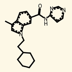 Cc1cn(CCC2CCCCC2)c2cc(C(=O)Nc3ccncn3)ccc12